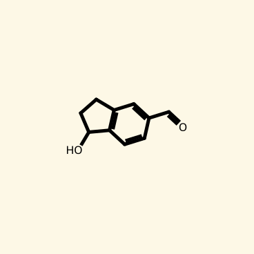 O=Cc1ccc2c(c1)CCC2O